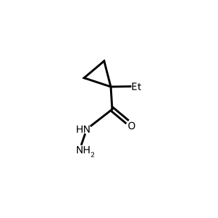 CCC1(C(=O)NN)CC1